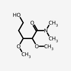 COC(CCO)C(OC)C(=O)N(C)C